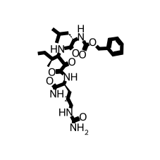 CC[C@H](C)C(NC(=O)[C@H](CC(C)C)NC(=O)OCc1ccccc1)C(=O)C(=O)N[C@@H](CCCNC(N)=O)C(N)=O